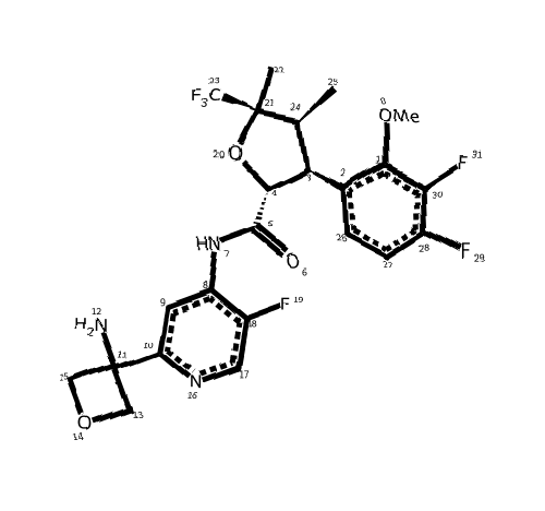 COc1c([C@H]2[C@H](C(=O)Nc3cc(C4(N)COC4)ncc3F)O[C@@](C)(C(F)(F)F)[C@H]2C)ccc(F)c1F